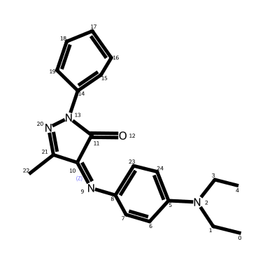 CCN(CC)c1ccc(/N=C2\C(=O)N(c3ccccc3)N=C2C)cc1